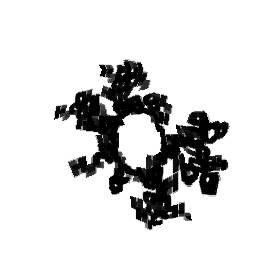 CC(C)C[C@@H]1NC(=O)[C@@H](Cc2ccccc2)NC(=O)[C@H](CCNC(=O)OC(C)(C)C)NC(=O)[C@@H](NC(=O)[C@@H](CCC(C)(C)[Si](O)(c2ccccc2)c2ccccc2)NC(=O)[C@@H]2COCC(=O)N2)CCNC(=O)[C@H]([C@@H](C)O)NC(=O)[C@H](CCNC(=O)OC(C)(C)C)NC(=O)[C@H](CCNC(=O)OC(C)(C)C)NC1=O